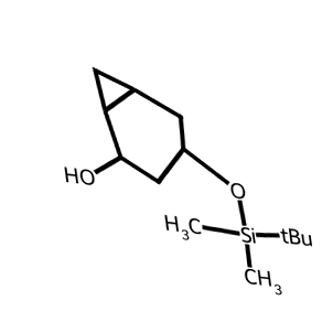 CC(C)(C)[Si](C)(C)OC1CC(O)C2CC2C1